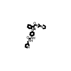 O=C(NCc1cccnc1)Nc1ccc(-n2nc(C(=O)N3CC(N4CCCC4)C3)c3ccccc32)cc1